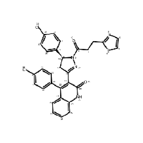 O=C(CCc1nccs1)N1N=C(c2c(-c3ccc(Cl)cc3)c3ccccc3[nH]c2=O)C[C@H]1c1ccc(Cl)cc1